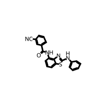 N#Cc1cccc(C(=O)Nc2cccc3sc(Nc4ccccc4)nc23)c1